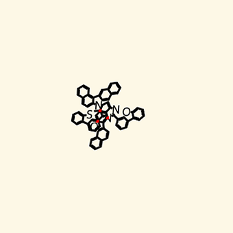 CC1C/C=C(c2cc3c(cc2-n2c4cc5ccccc5cc4c4c5ccccc5ccc42)oc2c4ccccc4ccc32)/N=C(c2cccc3c2oc2ccccc23)\N=C/1c1cccc2c1sc1ccccc12